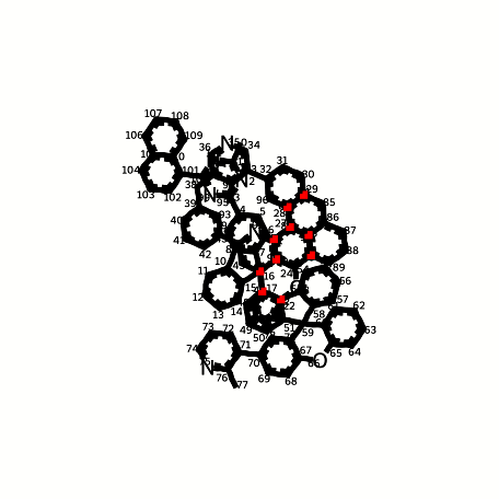 Cc1nc(-c2ccc3c(c2)-c2ccccc2C32c3ccccc3Oc3ccc(-c4cccc(-c5cncc(Cc6cccc(-c7cc(-c8cccc9c8-c8ccccc8C98c9ccccc9Oc9ccc(-c%10cccnc%10C)cc98)nc(-c8cccc9ccccc89)n7)c6)c5C)c4)cc32)nc(-c2cccc3ccccc23)n1